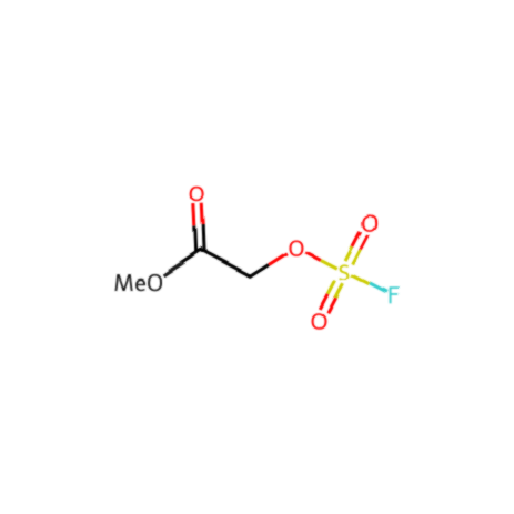 COC(=O)COS(=O)(=O)F